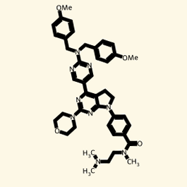 COc1ccc(CN(Cc2ccc(OC)cc2)c2ncc(-c3nc(N4CCOCC4)nc4c3CCN4c3ccc(C(=O)N(C)CCN(C)C)cc3)cn2)cc1